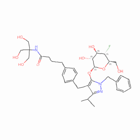 CC(C)c1nn(Cc2ccccc2)c(O[C@@H]2O[C@H](CO)[C@@H](F)[C@H](O)[C@H]2O)c1Cc1ccc(CCCC(=O)NC(CO)(CO)CO)cc1